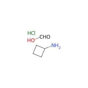 Cl.NC1CCC1.O=CO